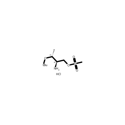 C[C@@H](OC(C)(C)C)[C@H](N)COS(C)(=O)=O.Cl